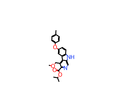 COCc1c(C(=O)OC(C)C)ncc2[nH]c3ccc(Oc4ccc(C)cc4)cc3c12